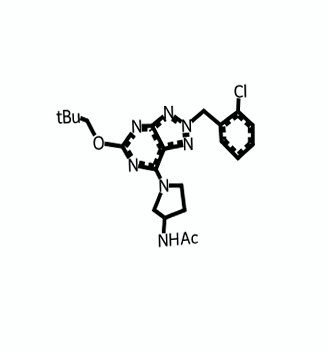 CC(=O)NC1CCN(c2nc(OCC(C)(C)C)nc3nn(Cc4ccccc4Cl)nc23)C1